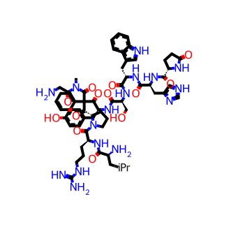 CC(C)C[C@H](N)C(=O)N[C@@H](CCCNC(=N)N)C(=O)N1CCC[C@H]1C(=O)C(C(=O)[C@H](Cc1ccc(O)cc1)NC(=O)[C@H](CO)NC(=O)[C@H](Cc1c[nH]c2ccccc12)NC(=O)[C@H](Cc1c[nH]cn1)NC(=O)[C@@H]1CCC(=O)N1)(C(=O)N(C)C(=O)CN)C1=CCC=CC1